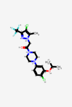 Cc1c(Cl)c(C(F)(F)F)nn1CC(=O)N1CCN(c2ccc(Cl)c(OC(C)C)c2)CC1